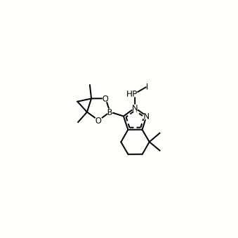 CC1(C)CCCc2c1nn(PI)c2B1OC2(C)CC2(C)O1